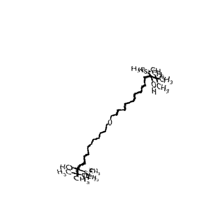 C[SiH](C)C(O)(CCCCCCCCCCCOCCCCCCCCCCCC(O)([SiH](C)C)C(C)(C)C)C(C)(C)C